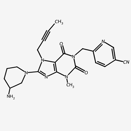 CC#CCn1c(N2CCCC(N)C2)nc2c1c(=O)n(Cc1ccc(C#N)cn1)c(=O)n2C